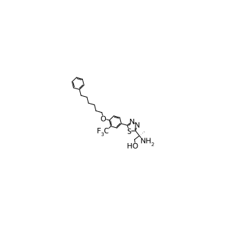 C[C@](N)(CO)c1nnc(-c2ccc(OCCCCCCc3ccccc3)c(C(F)(F)F)c2)s1